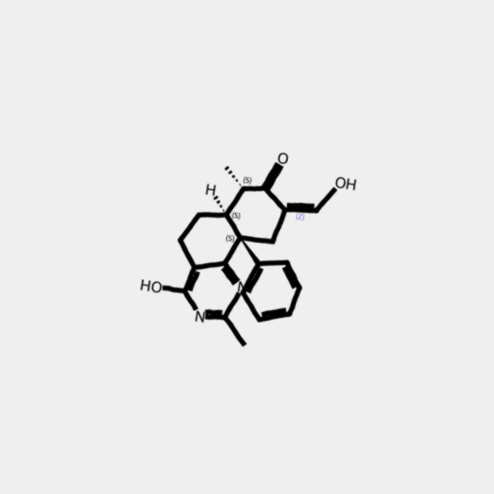 Cc1nc(O)c2c(n1)[C@@]1(c3ccccc3)C/C(=C/O)C(=O)[C@@H](C)[C@@H]1CC2